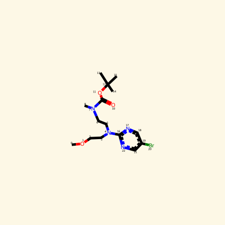 COCCN(CCN(C)C(=O)OC(C)(C)C)c1ncc(Br)cn1